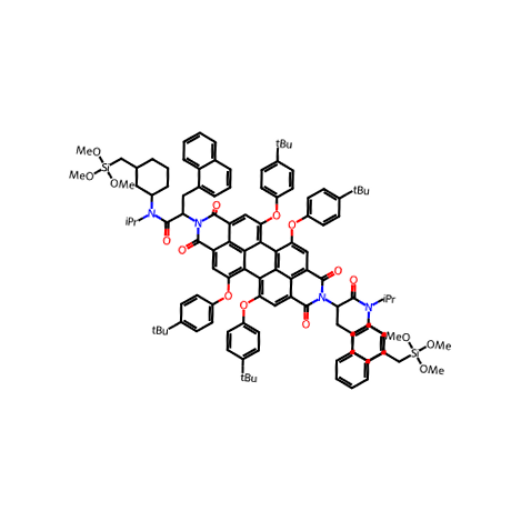 CO[Si](CC1CCCC(N(C(=O)C(Cc2cccc3ccccc23)N2C(=O)c3cc(Oc4ccc(C(C)(C)C)cc4)c4c5c(Oc6ccc(C(C)(C)C)cc6)cc6c7c(cc(Oc8ccc(C(C)(C)C)cc8)c(c8c(Oc9ccc(C(C)(C)C)cc9)cc(c3c48)C2=O)c75)C(=O)N(C(Cc2cccc3ccccc23)C(=O)N(C(C)C)C2CCCC(C[Si](OC)(OC)OC)C2)C6=O)C(C)C)C1)(OC)OC